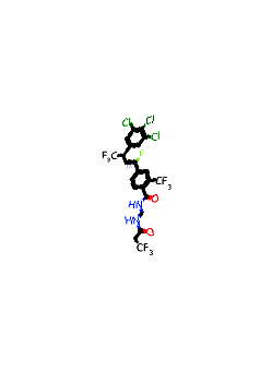 O=C(CC(F)(F)F)NCNC(=O)c1ccc(/C(F)=C/C(c2cc(Cl)c(Cl)c(Cl)c2)C(F)(F)F)cc1C(F)(F)F